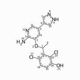 CC(Oc1cc(-c2cn[nH]c2)cnc1N)c1c(Cl)ccc(O)c1Cl